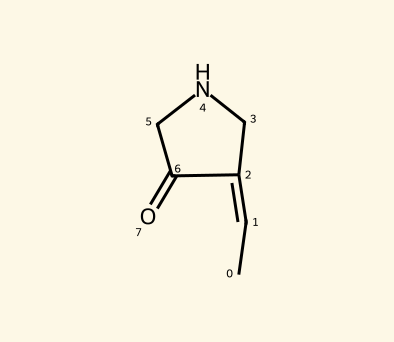 C/C=C1/CNCC1=O